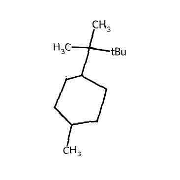 CC1C[CH]C(C(C)(C)C(C)(C)C)CC1